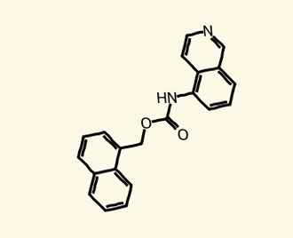 O=C(Nc1cccc2cnccc12)OCc1cccc2ccccc12